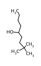 CCCCC(O)CCC(C)(C)C